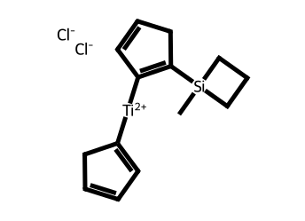 C[Si]1(C2=[C]([Ti+2][C]3=CC=CC3)C=CC2)CCC1.[Cl-].[Cl-]